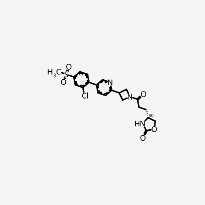 CS(=O)(=O)c1ccc(-c2ccc(C3CN(C(=O)CC[C@@H]4COC(=O)N4)C3)nc2)c(Cl)c1